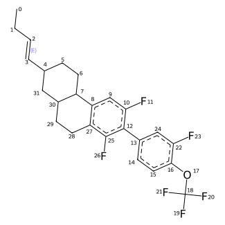 CC/C=C/C1CCC2c3cc(F)c(-c4ccc(OC(F)(F)F)c(F)c4)c(F)c3CCC2C1